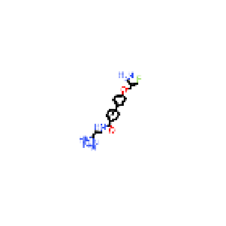 NC/C(=C\F)COc1ccc(C23CCC(C(=O)NCCc4nnn[nH]4)(CC2)CC3)cc1